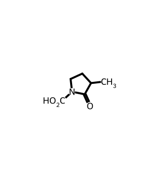 CC1CCN(C(=O)O)C1=O